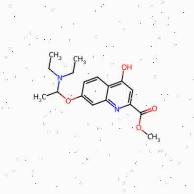 CCN(CC)C(C)Oc1ccc2c(O)cc(C(=O)OC)nc2c1